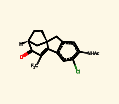 CC(=O)Nc1cc2c(cc1Cl)C1=C(C(F)(F)F)C(=O)[C@H]3CC[C@]1(C2)C3